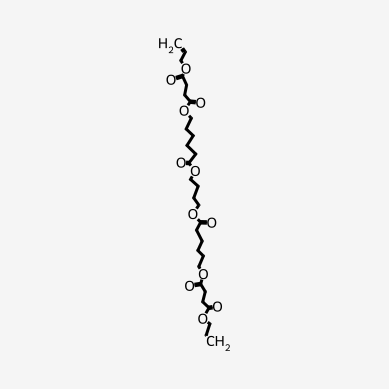 C=CCOC(=O)CCC(=O)OCCCCCC(=O)OCCCCOC(=O)CCCCCOC(=O)CCC(=O)OCC=C